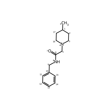 CC1CCN(CC(=O)NCc2cc[c]cc2)CC1